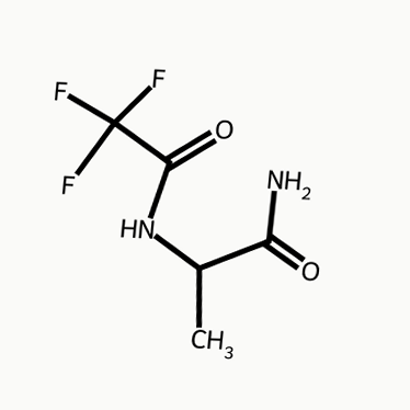 CC(NC(=O)C(F)(F)F)C(N)=O